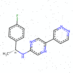 C[C@@H](Nc1cnc(-c2ccnnc2)cn1)c1ccc(F)cc1